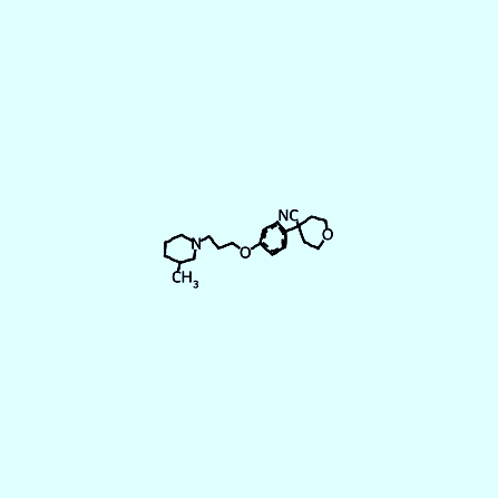 CC1CCCN(CCCOc2ccc(C3(C#N)CCOCC3)cc2)C1